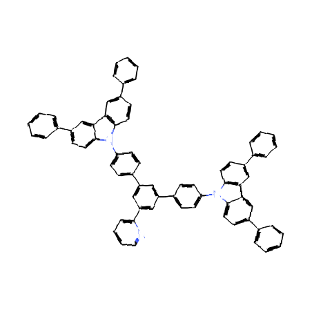 c1ccc(-c2ccc3c(c2)c2cc(-c4ccccc4)ccc2n3-c2ccc(-c3cc(-c4ccc(-n5c6ccc(-c7ccccc7)cc6c6cc(-c7ccccc7)ccc65)cc4)cc(-c4ccccn4)c3)cc2)cc1